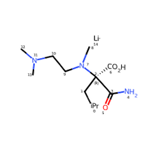 CC(C)C[C@@](C(N)=O)(C(=O)O)N(C)CCN(C)C.[Li]